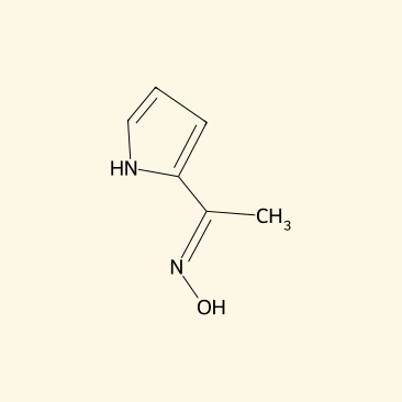 C/C(=N\O)c1ccc[nH]1